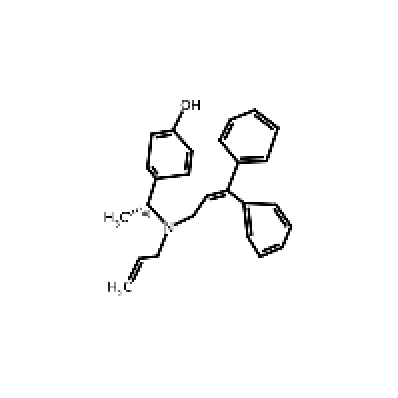 C=CCN(CC=C(c1ccccc1)c1ccccc1)[C@H](C)c1ccc(O)cc1